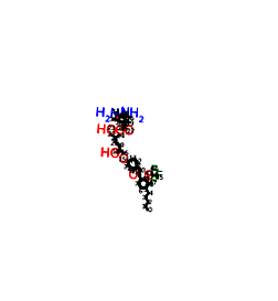 CCCCCc1ccc(-c2cc3ccc(OCC(O)CCC(CO)COC(=O)C(C)(CC(C)(C)N)C(C)(C)N)cc3o2)c(OC(F)(F)F)c1